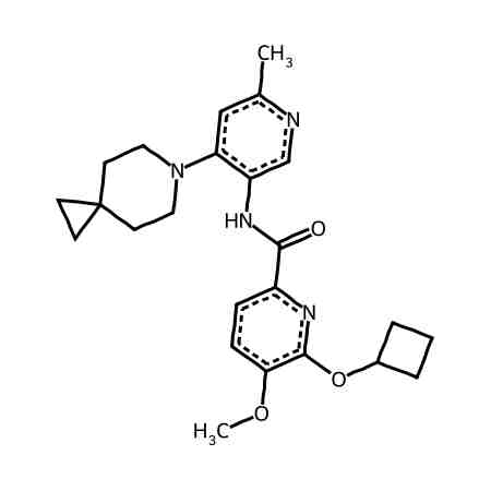 COc1ccc(C(=O)Nc2cnc(C)cc2N2CCC3(CC2)CC3)nc1OC1CCC1